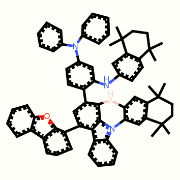 CC1(C)CCC(C)(C)c2cc(Nc3cc(N(c4ccccc4)c4ccccc4)ccc3-c3cc(-c4cccc5c4oc4ccccc45)c4c5ccccc5n5c4c3Bc3cc4c(cc3-5)C(C)(C)CCC4(C)C)ccc21